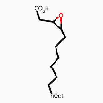 CCCCCCCCCCCCCCC1OC1CC(=O)O